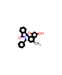 Cc1ccc(C2(OC3CCC(O)C3)c3ccccc3C(=O)N2Cc2ccccc2)cc1